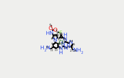 COC(=O)N[C@H]1CN(c2cc(CN)cc(Nc3nc(NC4CC4)c4ncc(CN)n4n3)c2Cl)C[C@H]1CF